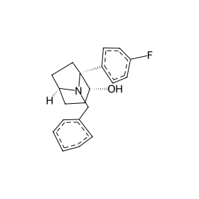 O[C@@H]1CC[C@H]2CC[C@]1(c1ccc(F)cc1)N2Cc1ccccc1